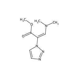 COC(=O)/C(=C\N(C)C)n1ccnn1